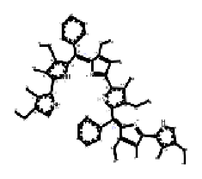 CCC1=C(C)C(c2[nH]cc(CC)c2C)=N/C1=C(/c1ccccc1)c1[nH]c(C2=N/C(=C(/c3ccccc3)c3[nH]c(-c4[nH]cc(CC)c4C)c(C)c3CC)C(CC)=C2C)c(C)c1CC